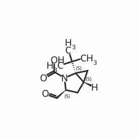 CC(C)(C)[C@]12C[C@@H]1C[C@@H](C=O)N2C(=O)O